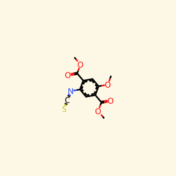 COC(=O)c1cc(OC)c(C(=O)OC)cc1N=C=S